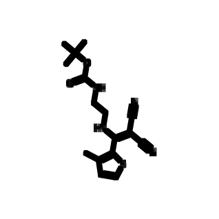 Cc1ccsc1C(NCCNC(=O)OC(C)(C)C)=C(C#N)C#N